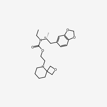 CCN(C(=O)OCCN1CCCCC12COC2)[C@H](C)Cc1ccc2c(c1)OCO2